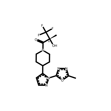 Cc1nnc(-n2nccc2C2CCN(C(=O)[C@@](C)(O)C(F)(F)F)CC2)o1